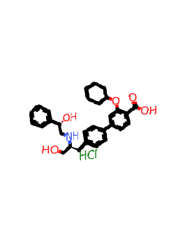 Cl.O=C(O)c1ccc(-c2ccc(C[C@@H](CO)NC[C@@H](O)c3ccccc3)cc2)cc1OC1CCCCC1